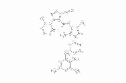 [C-]#[N+]c1cnn(-c2c(Cl)cccc2Cl)c1/N=N/c1c(C)nn(-c2ccc(Nc3c(C)cc(C)cc3C)nn2)c1N